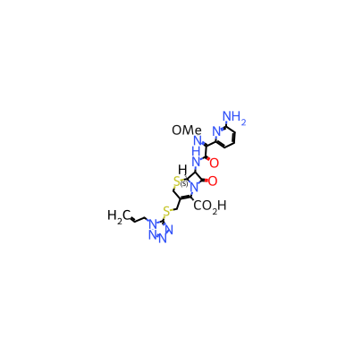 C=CCn1nnnc1SCC1=C(C(=O)O)N2C(=O)C(NC(=O)C(=NOC)c3cccc(N)n3)[C@@H]2SC1